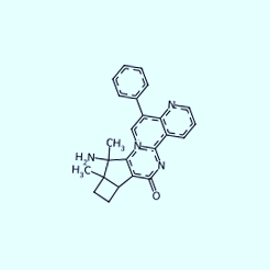 CC1(N)c2c(c(=O)nc3c4cccnc4c(-c4ccccc4)cn23)C2CCC21C